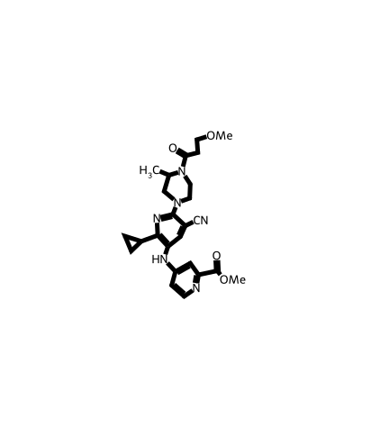 COCCC(=O)N1CCN(c2nc(C3CC3)c(Nc3ccnc(C(=O)OC)c3)cc2C#N)CC1C